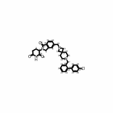 O=C1CCC(N2Cc3cc(CN4CC5(CCN(Cc6ccccc6-c6ccc(Cl)cc6)CC5)C4)ccc3C2=O)C(=O)N1